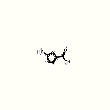 Bc1ncc(C(=O)O)s1